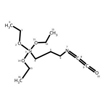 CCO[Si](CCCN=C=C=O)(OCC)OCC